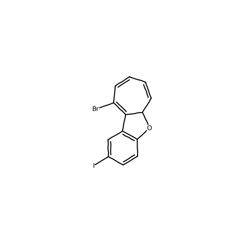 BrC1=C2c3cc(I)ccc3OC2C=CC=C1